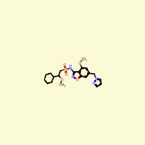 COc1cc(Cn2cccn2)cc2onc(NS(=O)(=O)CC(OC)C3CCCCC3)c12